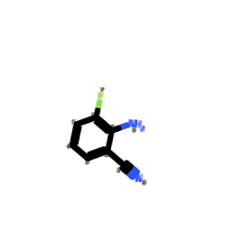 N#Cc1c[c]cc(F)c1N